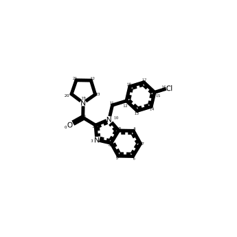 O=C(c1nc2ccccc2n1Cc1ccc(Cl)cc1)N1CCCC1